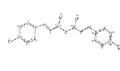 [O-][S+](C=Cc1ccc(Cl)cc1)C[S+]([O-])C=Cc1ccc(Cl)cc1